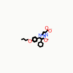 CCCCOc1ccc(-c2nc3cc(C(=O)OC)nn3c(OC)c2C2CCCCC2)cc1